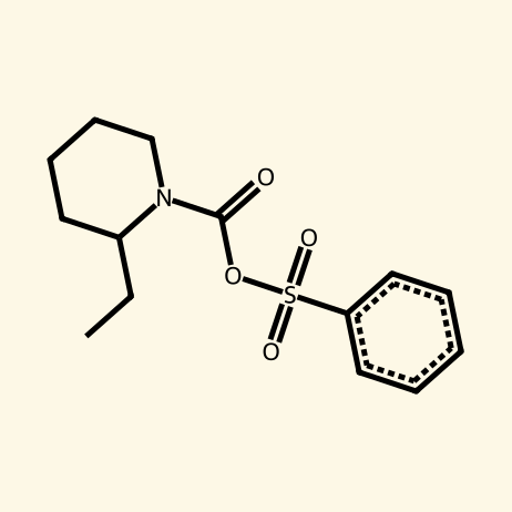 CCC1CCCCN1C(=O)OS(=O)(=O)c1ccccc1